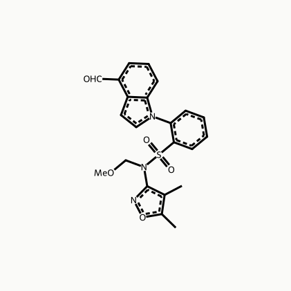 COCN(c1noc(C)c1C)S(=O)(=O)c1ccccc1-n1ccc2c(C=O)cccc21